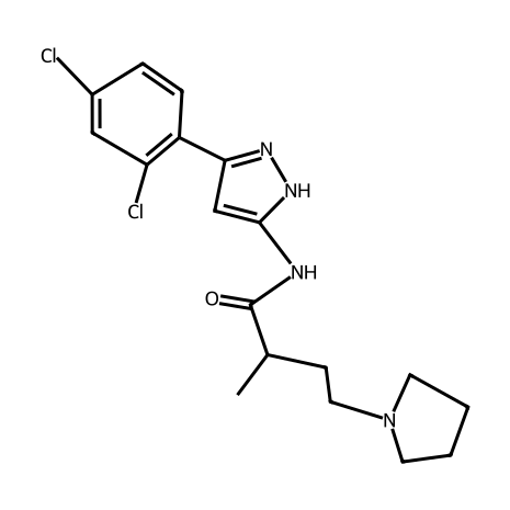 CC(CCN1CCCC1)C(=O)Nc1cc(-c2ccc(Cl)cc2Cl)n[nH]1